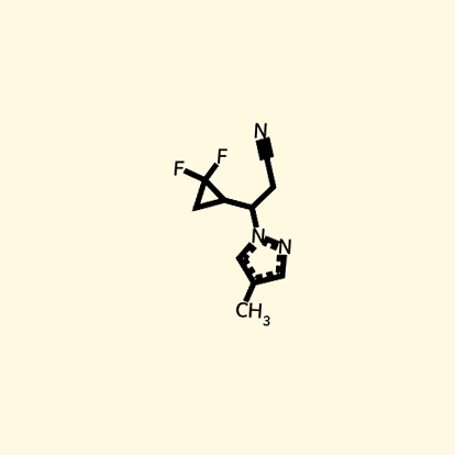 Cc1cnn(C(CC#N)C2CC2(F)F)c1